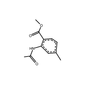 COC(=O)c1ccc(C)cc1NC(C)=O